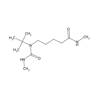 CNC(=O)CCCCN(C(=O)NC)C(C)(C)C